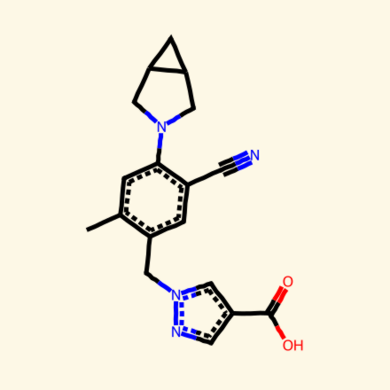 Cc1cc(N2CC3CC3C2)c(C#N)cc1Cn1cc(C(=O)O)cn1